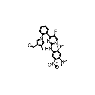 COc1cc(N(C)C)c([N+](=O)[O-])cc1Nc1ncc(F)c(-c2ccccc2-n2cc(C)c(C=O)c2)n1